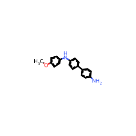 COc1ccc(Nc2ccc(-c3ccc(N)cc3)cc2)cc1